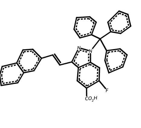 O=C(O)c1cc2c(C=Cc3ccc4ccccc4c3)nn(C(c3ccccc3)(c3ccccc3)c3ccccc3)c2cc1F